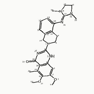 COc1cc2[nH]c(N3CCc4c(cccc4N=C4N(C)CCN4C)C3)nc(=O)c2c(C)c1OC